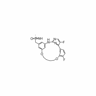 C[S@@](=N)(=O)Cc1cc2cc(c1)OCCCCOc1cc(ccc1F)-c1nc(ncc1F)N2